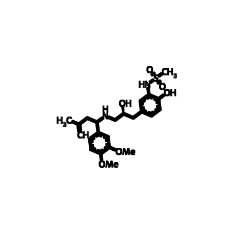 C=C(C)CC(NC[C@@H](O)Cc1ccc(O)c(NS(C)(=O)=O)c1)c1ccc(OC)c(OC)c1